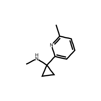 CNC1(c2cccc(C)n2)CC1